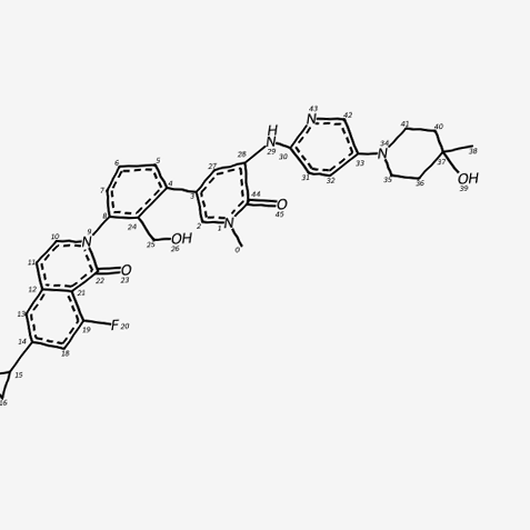 Cn1cc(-c2cccc(-n3ccc4cc(C5CC5)cc(F)c4c3=O)c2CO)cc(Nc2ccc(N3CCC(C)(O)CC3)cn2)c1=O